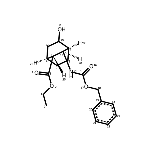 CCOC(=O)[C@@H]1[C@H]2CC[C@H](C(O)C2)[C@H]1NC(=O)OCc1ccccc1